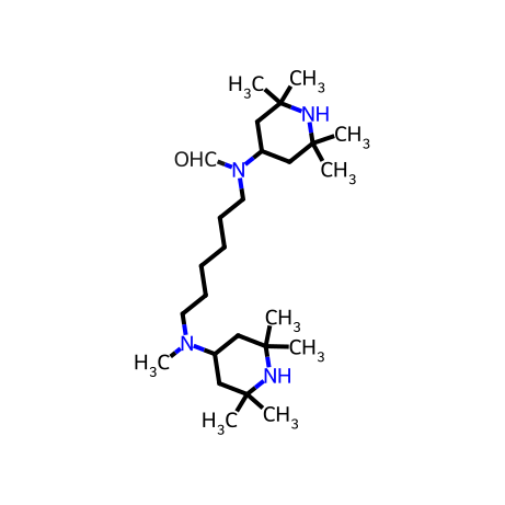 CN(CCCCCCN(C=O)C1CC(C)(C)NC(C)(C)C1)C1CC(C)(C)NC(C)(C)C1